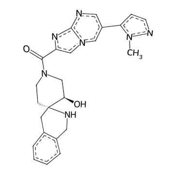 Cn1nccc1-c1cnc2nc(C(=O)N3CC[C@]4(Cc5ccccc5CN4)[C@H](O)C3)cn2c1